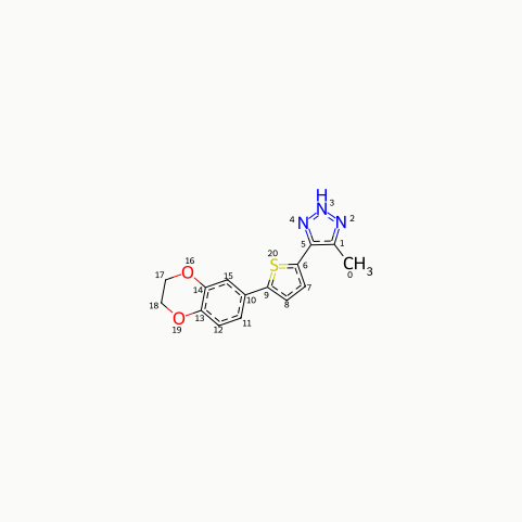 Cc1n[nH]nc1-c1ccc(-c2ccc3c(c2)OCCO3)s1